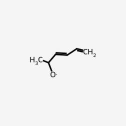 C=C/C=C/C(C)[O]